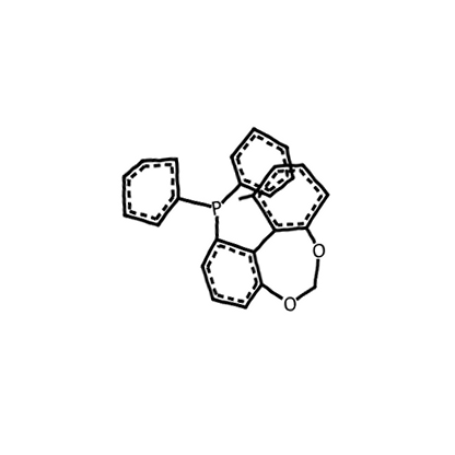 Cc1cccc2c1-c1c(cccc1P(c1ccccc1)c1ccccc1)OCO2